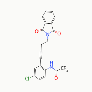 O=C1c2ccccc2C(=O)N1CCC#Cc1cc(Cl)ccc1NC(=O)C(F)(F)F